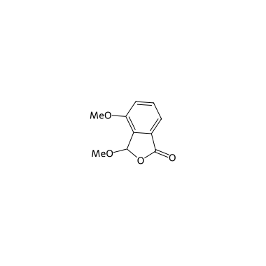 COc1cccc2c1C(OC)OC2=O